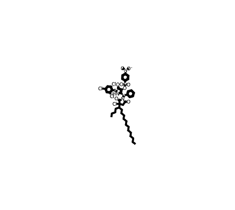 CCCCCCCCCCCCCC(CCCC)C1(Cl)CC(=O)N(N(c2ccccc2)c2[nH]n(-c3c(Cl)cc(Cl)cc3Cl)c(=O)c2OS(=O)(=O)c2ccc([N+](=O)[O-])cc2)C1=O